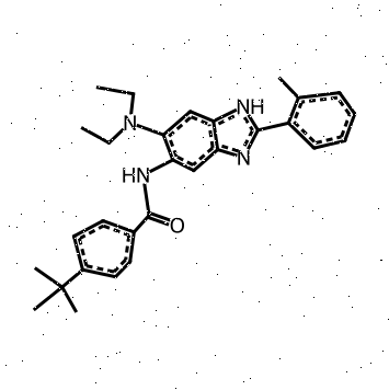 CCN(CC)c1cc2[nH]c(-c3ccccc3C)nc2cc1NC(=O)c1ccc(C(C)(C)C)cc1